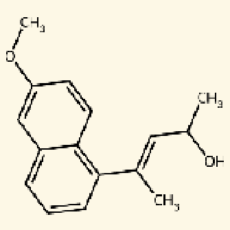 COc1ccc2c(C(C)=CC(C)O)cccc2c1